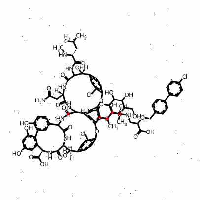 CN[C@H](CC(C)C)C(=O)NC1C(=O)N[C@@H](CC(N)=O)C(=O)N[C@H]2C(=O)NC3C(=O)N[C@H](C(=O)N[C@@H](C(=O)O)c4cc(O)cc(O)c4-c4cc3ccc4O)[C@H](O)c3ccc(c(Cl)c3)Oc3cc2cc(c3OC2OC(CO)C(O)C(O)C2OC(C)OC(C)C(O)C(C)(C)NCC(OCc2ccc(-c3ccc(Cl)cc3)cc2)C(=O)O)Oc2ccc(cc2Cl)[C@H]1O